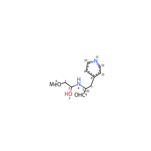 COCC(O)N[C@H](C=O)Cc1ccncc1